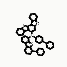 c1ccc(-c2ccc(N(c3cccc4c3sc3c(-c5ccccc5)cccc34)c3cc4oc5ccccc5c4c4sc5ccccc5c34)cc2)cc1